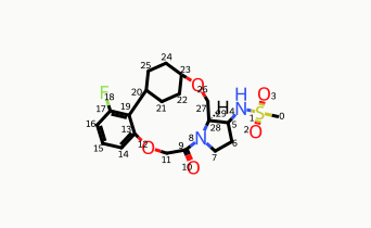 CS(=O)(=O)NC1CCN2C(=O)COc3cccc(F)c3C3CCC(CC3)OC[C@@H]12